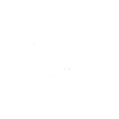 CCC(CO)CNC